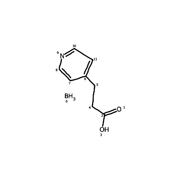 B.O=C(O)CCc1ccncc1